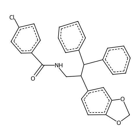 O=C(NCC(c1ccc2c(c1)OCO2)C(c1ccccc1)c1ccccc1)c1ccc(Cl)cc1